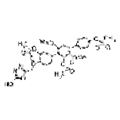 COc1cc(-c2ccc(OS(C)(=O)=O)cc2)c(OC)c(OS(C)(=O)=O)c1-c1ccc(OCc2nnc(O)o2)c(OS(C)(=O)=O)c1